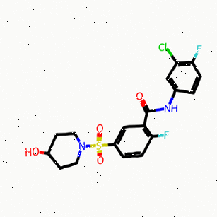 O=C(Nc1ccc(F)c(Cl)c1)c1cc(S(=O)(=O)N2CCC(O)CC2)ccc1F